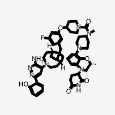 C[C@@H]1CN(C2CCC(=O)NC2=O)c2cccc(N3CCC(N(C)C(=O)N4CCC(Oc5cc(F)cc(CC67C[C@@H]8CCN(c9cc(-c%10ccccc%10O)nnc9N)CC[C@H]6CC87)c5)CC4)CC3)c2O1